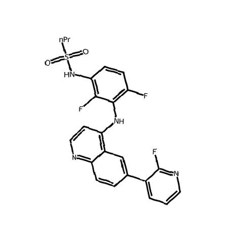 CCCS(=O)(=O)Nc1ccc(F)c(Nc2ccnc3ccc(-c4cccnc4F)cc23)c1F